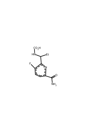 CCC(NC(=O)O)c1nc(C(N)=O)ccc1F